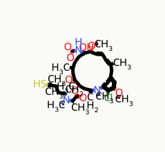 C=C1CC(OC(=O)[C@H](C)N(C)C(=C)CCC(C)(C)S)C2(C)OC2C(C)C2CC(O)(NC(=O)O2)C(OC)/C=C/C=C(\C)Cc2cc(OC)c(Cl)c(c2)N1C